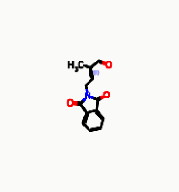 C/C(C=O)=C\CN1C(=O)c2ccccc2C1=O